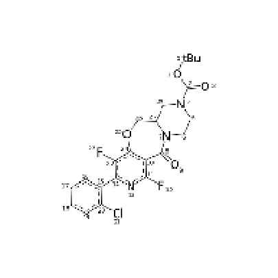 CC(C)(C)OC(=O)N1CCN2C(=O)c3c(F)nc(-c4ccccc4Cl)c(F)c3OCC2C1